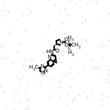 CC1=NC(C2=CC3=NC(NC(=O)C[C@H]4CCN(C(=O)OC(C)(C)C)C4)=CC4CC34C=C2)=NOC1